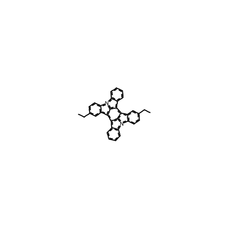 CCc1ccc2c(c1)c1c3c4ccccc4n4c5ccc(CC)cc5c(c5c6ccccc6n2c51)c34